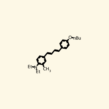 CCCCOc1ccc(/C=C/C=C/c2ccc(N(CC)CC)c(C)c2)cc1